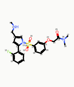 CNCc1cc(-c2ccccc2F)n(S(=O)(=O)c2cccc(OCC(=O)N(C)C)c2)c1